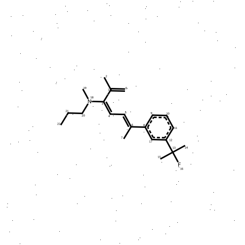 C=C(C)/C(=C\C=C(/C)c1cccc(C(C)(C)F)c1)N(C)CCC